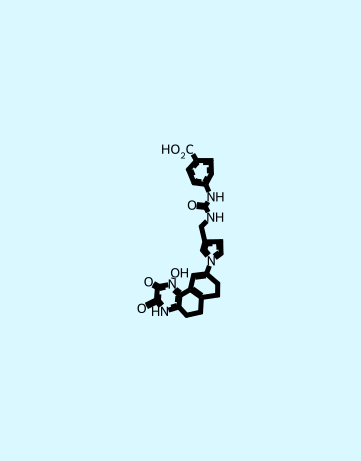 O=C(NCc1ccn(C2=CC3=C(CC2)CCc2[nH]c(=O)c(=O)n(O)c23)c1)Nc1ccc(C(=O)O)cc1